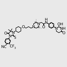 C[C@@H]1CN(CCCO[C@H]2CC[C@H](N3C(=S)N(c4ccc(C#N)c(C(F)(F)F)c4)C(=O)C3(C)C)CC2)C[C@H](C)N1CC(=O)Nc1ccc(N2CCC(=O)NC2O)cc1